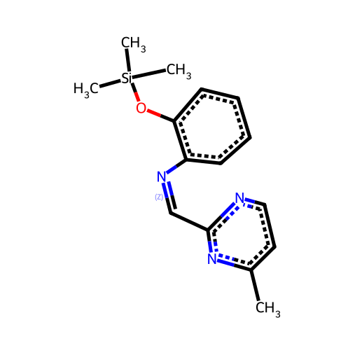 Cc1ccnc(/C=N\c2ccccc2O[Si](C)(C)C)n1